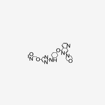 c1cnc2cc(N3CCOCC3)nc(O[C@H]3CC[C@@H](Nc4ncc(OCc5ncco5)cn4)CC3)c2c1